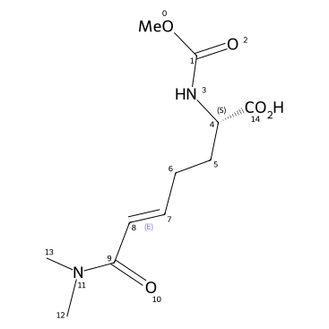 COC(=O)N[C@@H](CC/C=C/C(=O)N(C)C)C(=O)O